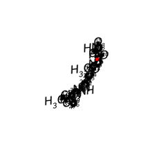 C[C@@H](Nc1cccc2c1CN([C@@H]1CCC(=O)NC1=O)C2=O)C(=O)N1CCN(c2ccc(Nc3ncc4cc(C(=O)N(C)C)n(C5CCCC5)c4n3)nc2)CC1